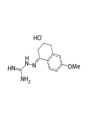 COc1ccc2c(c1)CCCC2=NNC(=N)N.Cl